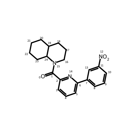 O=C(c1cccc(-c2cccc([N+](=O)[O-])c2)n1)N1CCCC2CCCCC21